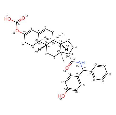 C[C@]12CC[C@H]3[C@@H](CC=C4C=C(OC(=O)O)CC[C@@]43C)[C@@H]1CC[C@@H]2C(=O)NC(c1ccccc1)c1ccc(O)cc1